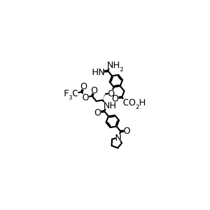 N=C(N)c1ccc(CC(=O)C(=O)O)c(OC[C@@H](CC(=O)OC(=O)C(F)(F)F)NC(=O)c2ccc(C(=O)N3CCCC3)cc2)c1